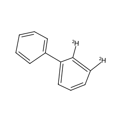 [2H]c1cccc(-c2ccccc2)c1[2H]